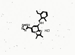 CCc1cccc(C)c1CNc1cc(-c2nnn[nH]2)cn2c(C)c(C)nc12.Cl